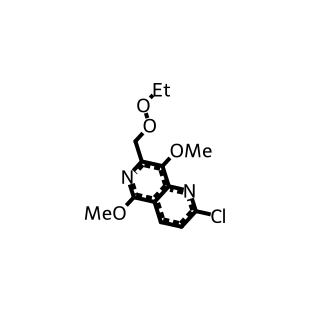 CCOOCc1nc(OC)c2ccc(Cl)nc2c1OC